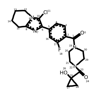 O=C(c1ccc(-c2nc3n(c2Cl)CCCC3)cc1F)N1CCN(C(=O)C2(O)CC2)CC1